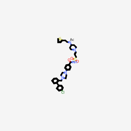 CC(=O)N(CCc1cccs1)C1CCN(C=CCS(=O)(=O)NC(=O)c2ccc(N3CCN(Cc4ccccc4-c4ccc(Cl)cc4)CC3)cc2)CC1